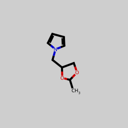 CC1OCC(Cn2cccc2)O1